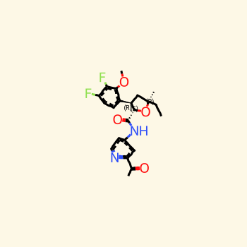 CC[C@]1(C)C[C@H](c2ccc(F)c(F)c2OC)[C@@H](C(=O)Nc2ccnc(C(C)=O)c2)O1